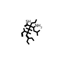 C=CC(C)C(C)(C=C(CC)CC)C(C)(C)C(CCC)(C(=C)S)C(N)CC(C)C